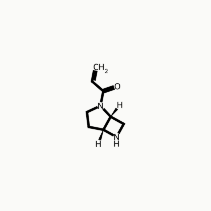 C=CC(=O)N1CC[C@H]2NC[C@H]21